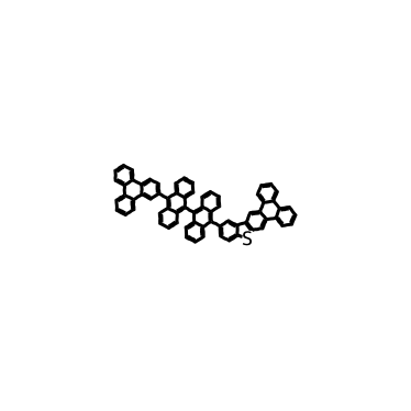 c1ccc2c(-c3c4ccccc4c(-c4ccc5c6ccccc6c6ccccc6c5c4)c4ccccc34)c3ccccc3c(-c3ccc4sc5cc6c7ccccc7c7ccccc7c6cc5c4c3)c2c1